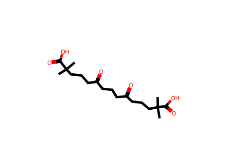 CC(C)(CCCC(=O)CCCC(=O)CCCC(C)(C)C(=O)O)C(=O)O